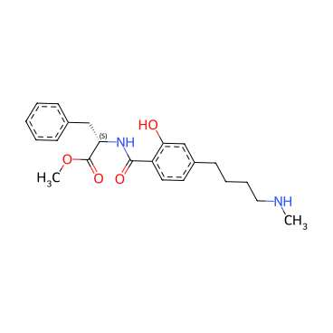 CNCCCCc1ccc(C(=O)N[C@@H](Cc2ccccc2)C(=O)OC)c(O)c1